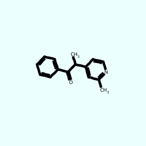 Cc1cc(C(C)C(=O)c2ccccc2)ccn1